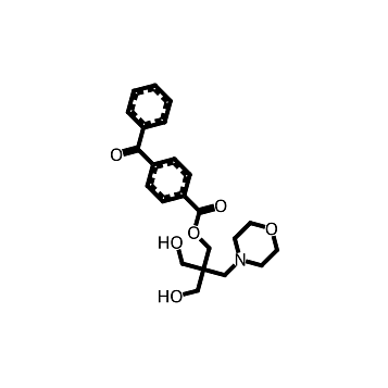 O=C(OCC(CO)(CO)CN1CCOCC1)c1ccc(C(=O)c2ccccc2)cc1